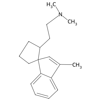 CC1=CC2(CCCC2CCN(C)C)c2ccccc21